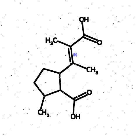 C/C(C(=O)O)=C(/C)C1CCC(C)C1C(=O)O